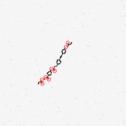 C=CC(=O)COc1ccc(C#Cc2ccc(CCC(=O)Oc3ccc(C(=O)OCOC(=O)C=C)cc3)cc2)cc1